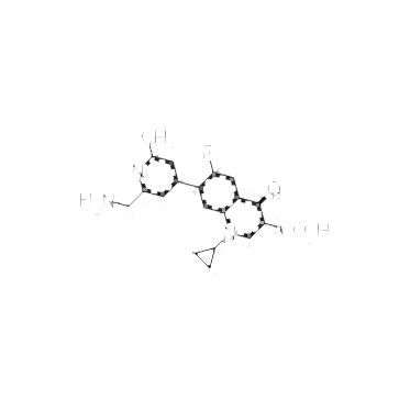 Cc1cc(-c2cc3c(cc2F)c(=O)c(C(=O)O)cn3C2CC2)cc(CN)n1